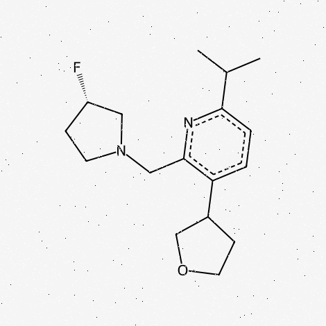 CC(C)c1ccc(C2CCOC2)c(CN2CC[C@H](F)C2)n1